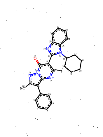 Cc1[nH]c2c(-c3ccccc3)c(C#N)nn2c(=O)c1-c1nc2ccccc2n1C1CCCCC1